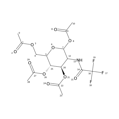 CC(=O)OCC1OC(OC(C)=O)C(NC(=O)C(F)(F)F)[C@@H](OC(C)=O)[C@@H]1OC(C)=O